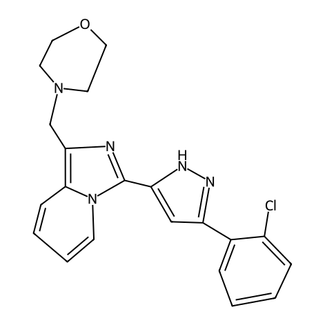 Clc1ccccc1-c1cc(-c2nc(CN3CCOCC3)c3ccccn23)[nH]n1